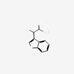 CC(C)(C)C(c1c[nH]c2ccccc12)C(N)C(=O)O